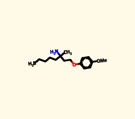 BCCCCC(C)(N)CCOc1ccc(OC)cc1